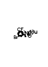 CC(=N[S+]([O-])C(C)(C)C)c1cc(Br)cc(C(F)(F)F)c1